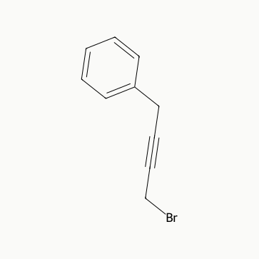 BrCC#CCc1ccccc1